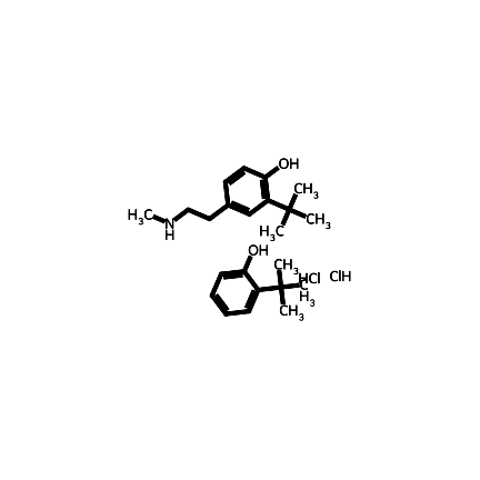 CC(C)(C)c1ccccc1O.CNCCc1ccc(O)c(C(C)(C)C)c1.Cl.Cl